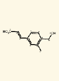 Cc1cc(C=CC(=O)O)ccc1CO